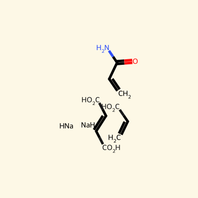 C=CC(=O)O.C=CC(N)=O.O=C(O)C=CC(=O)O.[NaH].[NaH]